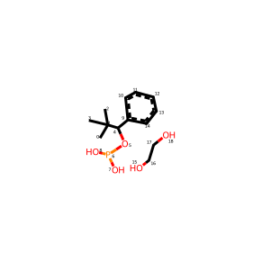 CC(C)(C)C(OP(O)O)c1ccccc1.OCCO